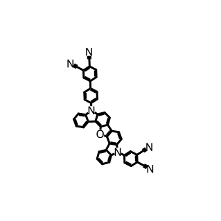 N#Cc1ccc(-c2ccc(-n3c4ccccc4c4c5oc6c(ccc7c6c6ccccc6n7-c6ccc(C#N)c(C#N)c6)c5ccc43)cc2)cc1C#N